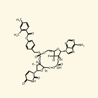 Cc1ccc(C(=O)Oc2ccc(CSP3(=O)OC[C@H]4O[C@@H](n5cnc6c(N)ncnc65)[C@H](OP(=O)(O)OC[C@H]5O[C@@H](n6ccc(=O)[nH]c6=O)[C@H](F)[C@@H]5O3)[C@@H]4F)cc2)c(C)c1